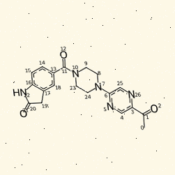 CC(=O)c1cnc(N2CCN(C(=O)c3ccc4c(c3)CC(=O)N4)CC2)cn1